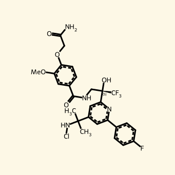 COc1cc(C(=O)NC[C@](O)(c2cc(C(C)(C)NCl)cc(-c3ccc(F)cc3)n2)C(F)(F)F)ccc1OCC(N)=O